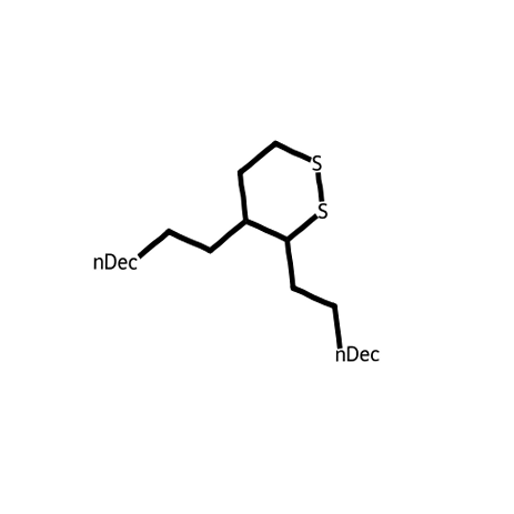 CCCCCCCCCCCCC1CCSSC1CCCCCCCCCCCC